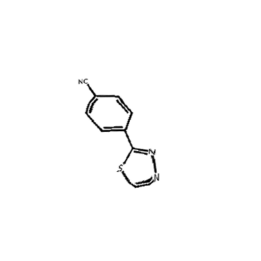 N#Cc1ccc(-c2nncs2)cc1